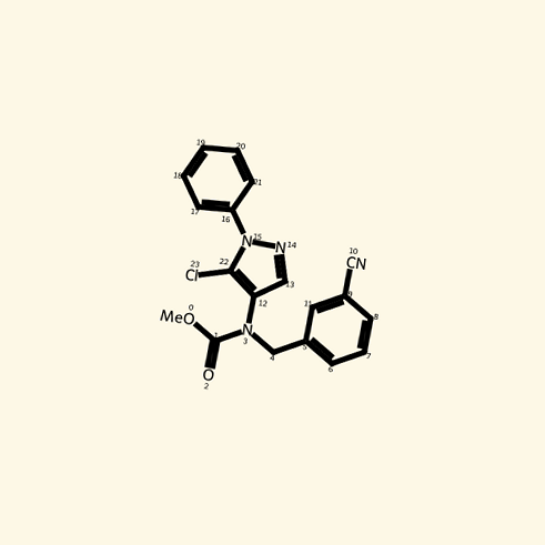 COC(=O)N(Cc1cccc(C#N)c1)c1cnn(-c2ccccc2)c1Cl